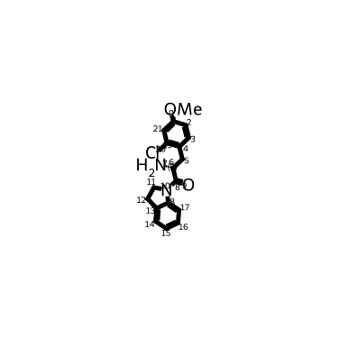 COc1ccc(C[C@@H](N)C(=O)N2CCc3ccccc32)c(Cl)c1